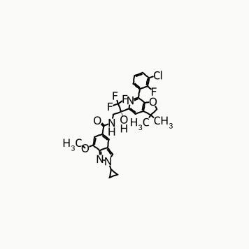 COc1cc(C(=O)NC[C@](O)(c2cc3c(c(-c4cccc(Cl)c4F)n2)OCC3(C)C)C(F)(F)F)cc2cn(C3CC3)nc12